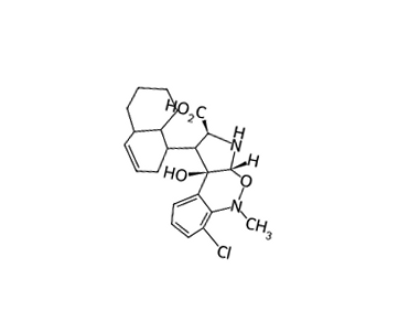 CN1O[C@H]2N[C@H](C(=O)O)C(C3CC=CC4CCCCC43)[C@@]2(O)c2cccc(Cl)c21